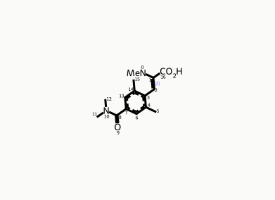 CN/C(=C\c1c(C)cc(C(=O)N(C)C)cc1C)C(=O)O